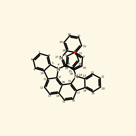 c1ccc(-n2c3ccccc3c3ccc4ccc5c6ccccc6n(-c6cnc7ccccc7c6)c5c4c32)cc1